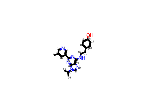 Cc1cncc(-c2nc(NCCc3ccc(O)cc3)c3ncn(C(C)C)c3n2)c1